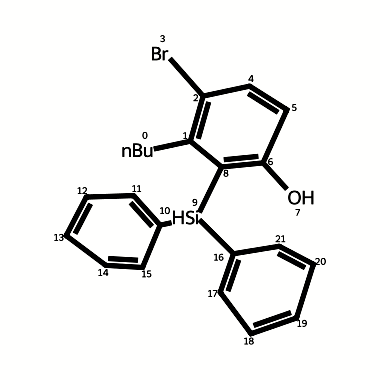 CCCCc1c(Br)ccc(O)c1[SiH](c1ccccc1)c1ccccc1